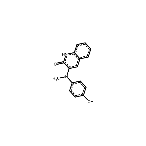 CN(c1ccc(O)cc1)c1cc2ccccc2[nH]c1=O